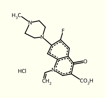 C=Cn1cc(C(=O)O)c(=O)c2cc(F)c(N3CCN(C)CC3)cc21.Cl